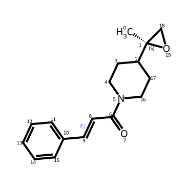 C[C@]1(C2CCN(C(=O)/C=C/c3ccccc3)CC2)CO1